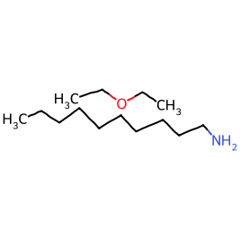 CCCCCCCCCCN.CCOCC